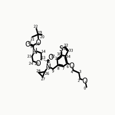 COCCCOc1cc(CN(C(=O)[C@H]2CN(C(=O)OC(C)(C)C)CCO2)C2CC2)cc2sccc12